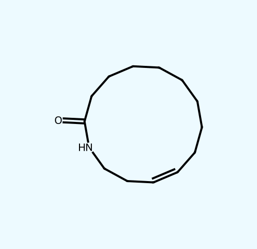 O=C1CCCCCCCCC=CCCN1